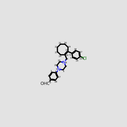 O=Cc1ccc(N2CCN(CC3=C(c4ccc(Cl)cc4)CCCCCC3)CC2)cc1